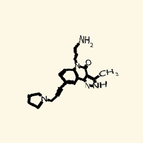 Cc1[nH]nc2c1c(=O)n(CCCN)c1ccc(C#CCN3CCCC3)cc21